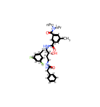 CCCN(CCC)C(=O)c1cc(C)cc(C(=O)N[C@@H](Cc2cc(F)cc(F)c2)[C@H](O)CCNC(=O)Cc2ccccc2)c1